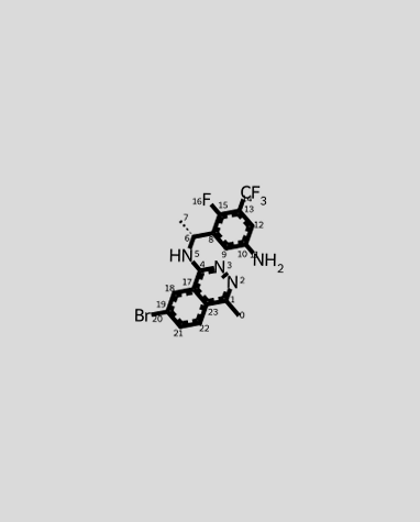 Cc1nnc(N[C@H](C)c2cc(N)cc(C(F)(F)F)c2F)c2cc(Br)ccc12